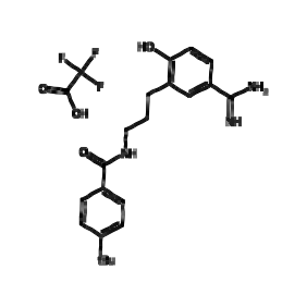 CC(C)(C)c1ccc(C(=O)NCCCc2cc(C(=N)N)ccc2O)cc1.O=C(O)C(F)(F)F